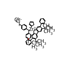 CC(C)(C)c1cc2c(cc1-c1ccccc1)[CH]([Zr+2]([C]1=CC=CC1)=[C](c1ccc(I)cc1)c1ccc(I)cc1)c1cc(-c3ccccc3)c(C(C)(C)C)cc1-2.[Cl-].[Cl-]